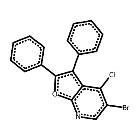 Clc1c(Br)cnc2oc(-c3ccccc3)c(-c3ccccc3)c12